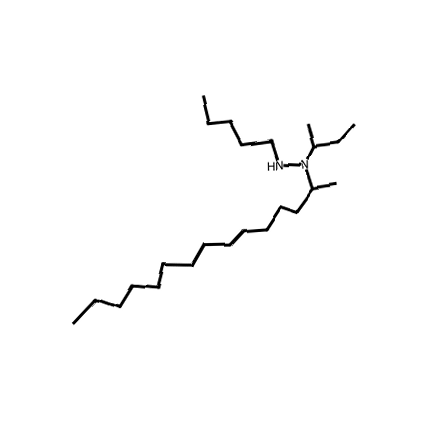 CCCCCCCCCCCCCC(C)N(NCCCCC)C(C)CC